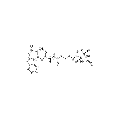 CNN(C)Cc1cc2ccccc2n1CCC(=O)NNC(=O)CCCC[C@H]1SC[C@@H]2NC(=O)N[C@@H]21